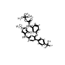 Cn1cc(Nc2ncc(-c3ccc(C(F)(F)F)cc3)c(Oc3cccc(NC(=O)OC(C)(C)C)c3)n2)c(Cl)n1